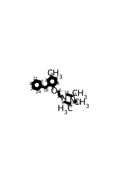 Cc1ccc(OCCN2CC(C)N(C)C(C)C2)c(Cc2ccccc2)c1